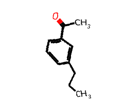 CCCc1cccc(C(C)=O)c1